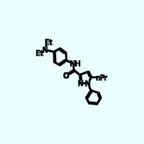 CCCc1cc(C(=O)Nc2ccc(N(CC)CC)cc2)nn1-c1ccccc1